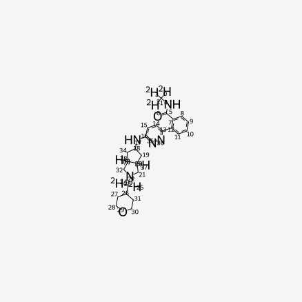 [2H]C([2H])([2H])NC(=O)c1ccccc1-c1ccc(NC2C[C@@H]3CN(C([2H])([2H])C4CCOCC4)C[C@@H]3C2)nn1